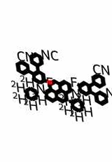 [2H]c1c([2H])c([2H])c(N(c2cc(-c3cccc(C#N)c3)c(-c3cccc([N+]#[C-])c3)cc2F)c2ccc3ccc4c(N(c5cc(-c6cccc([N+]#[C-])c6)c(-c6cccc(C#N)c6)cc5F)c5c([2H])c([2H])c([2H])c([2H])c5[2H])ccc5ccc2c3c54)c([2H])c1[2H]